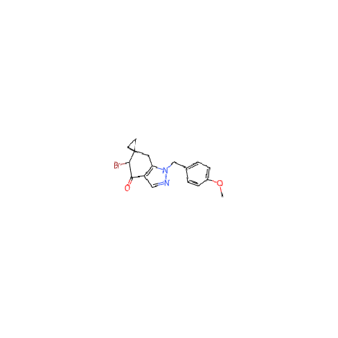 COc1ccc(Cn2ncc3c2CC2(CC2)C(Br)C3=O)cc1